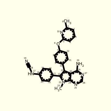 Cc1cccc(Oc2ccc(-c3c(-c4ccc(NC#N)cc4)n(C)c4ncnc(N)c34)cc2)n1